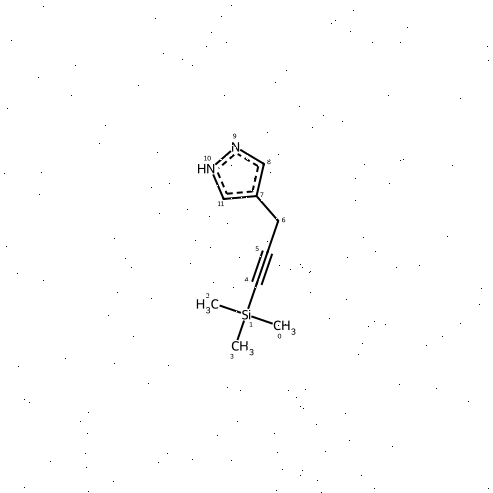 C[Si](C)(C)C#CCc1cn[nH]c1